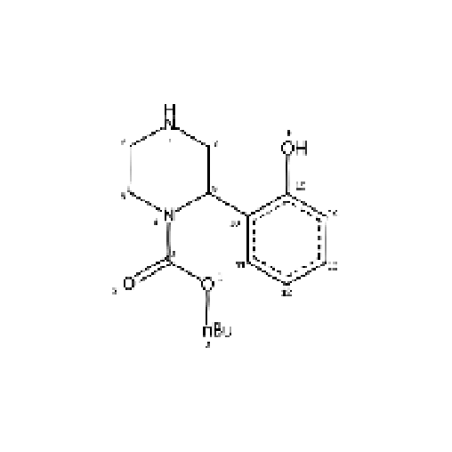 CCCCOC(=O)N1CCNCC1c1ccccc1O